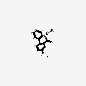 C=C(N=[N+]=[N-])c1cc(C(F)(F)F)ccc1-c1ccccc1